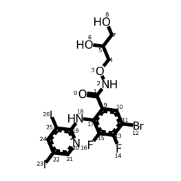 O=C(NOCC(O)CO)c1cc(Br)c(F)c(F)c1Nc1ncc(I)cc1I